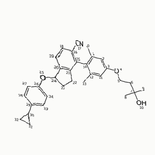 Cc1cc(OCCC(C)(C)O)cc(C)c1-c1c(C#N)ccc2c1CCC2Oc1ccc(C2CC2)cc1